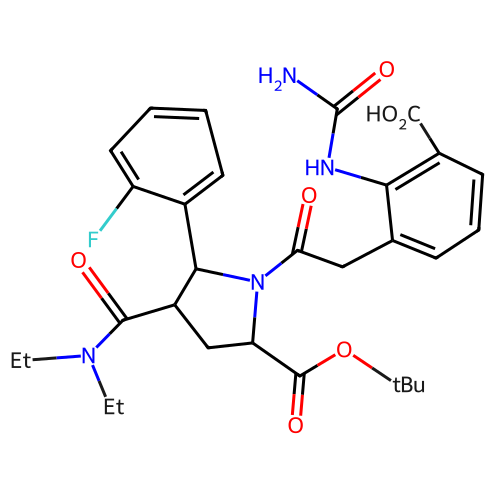 CCN(CC)C(=O)C1CC(C(=O)OC(C)(C)C)N(C(=O)Cc2cccc(C(=O)O)c2NC(N)=O)C1c1ccccc1F